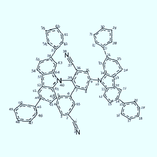 N#Cc1cccc(-c2cc(-n3c4ccc(-c5ccccc5)cc4c4ccc(-c5ccccc5)cc43)cc(C#N)c2-n2c3ccc(-c4ccccc4)cc3c3ccc(-c4ccccc4)cc32)c1